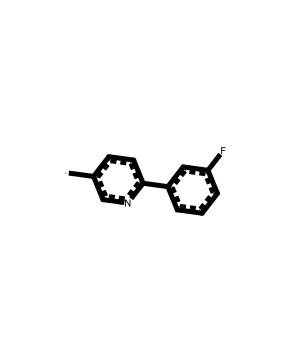 [CH2]c1ccc(-c2cccc(F)c2)nc1